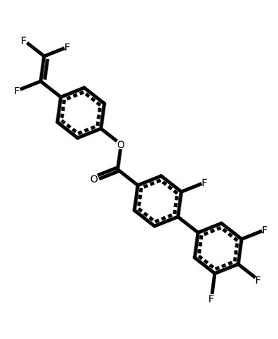 O=C(Oc1ccc(C(F)=C(F)F)cc1)c1ccc(-c2cc(F)c(F)c(F)c2)c(F)c1